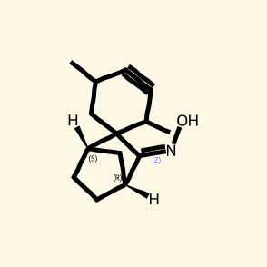 CC1C#CC(C)C2(C1)/C(=N\O)[C@@H]1CC[C@H]2C1